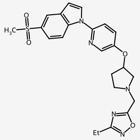 CCc1noc(CN2CCC(Oc3ccc(-n4ccc5cc(S(C)(=O)=O)ccc54)nc3)C2)n1